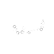 Cc1ncc(NC(=O)c2cccc(C(F)(F)F)c2)cc1-c1cnc(OCc2cn(CCCCCC(=O)Nc3cccc4c3C(=O)N(C3CCC(=O)NC3=O)C4=O)nn2)c(N2CCOCC2)c1